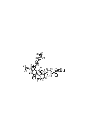 CC(OCC1(c2ccc(F)cc2)CCN(C(=O)OC(C)(C)C)CC1)c1cc(Cl)cc2c(C3CC3)nn(COCC[Si](C)(C)C)c12